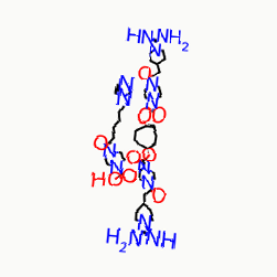 N=C(N)N1CCC(CC(=O)N2CCN(C(=O)O[C@H]3CCC[C@@H](OC(=O)N4CCN(C(=O)CC5CCN(C(=N)N)CC5)CC4)CCC3)CC2)CC1.O=C(O)N1CCN(C(=O)CCCCCn2ccnc2)CC1